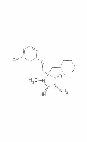 CC(C)C1=CC=CC(OCC2(CC3CCCCC3)C(=O)N(C)C(=N)N2C)C1